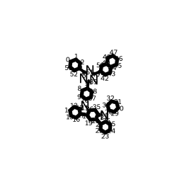 c1ccc(-c2nc(-c3ccc(-n4c5ccccc5c5cc6c7ccccc7n(-c7ccccc7)c6cc54)cc3)nc(-c3ccc4ccccc4c3)n2)cc1